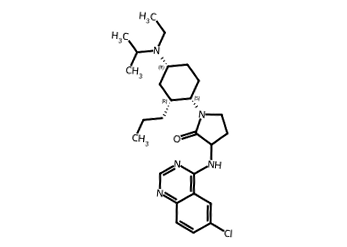 CCC[C@@H]1C[C@H](N(CC)C(C)C)CC[C@@H]1N1CCC(Nc2ncnc3ccc(Cl)cc23)C1=O